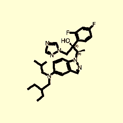 CCC(CC)CN(CC(C)C)c1ccc2c(cnn2[C@H](C)[C@](O)(Cn2cncn2)c2ccc(F)cc2F)c1